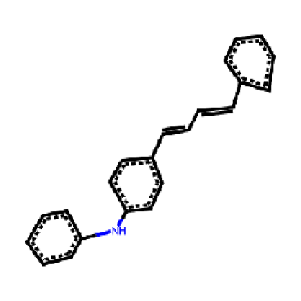 C(C=Cc1ccc(Nc2ccccc2)cc1)=Cc1ccccc1